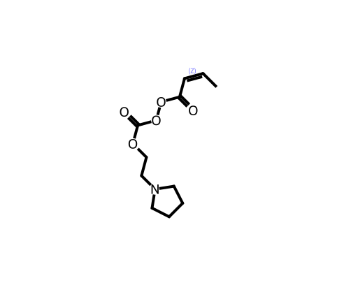 C/C=C\C(=O)OOC(=O)OCCN1CCCC1